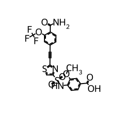 COc1cc(C(=O)O)ccc1NS(=O)(=O)c1csc(C#Cc2ccc(C(N)=O)c(OC(F)(F)F)c2)n1